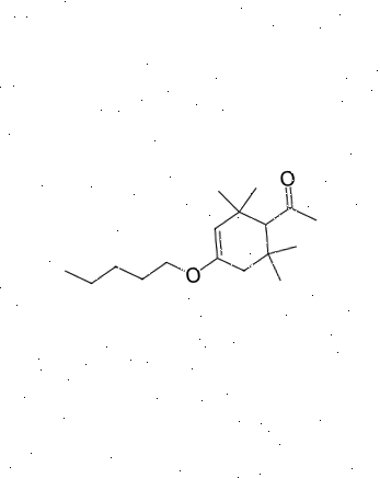 CCCCCOC1=CC(C)(C)C(C(C)=O)C(C)(C)C1